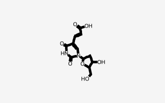 O=C(O)/C=C/c1cn(C2CC(O)C(CO)O2)c(=O)[nH]c1=O